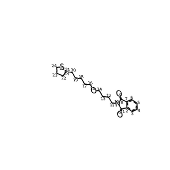 O=C1c2ccccc2C(=O)N1CCCCOCCCCC[C@H]1CCCS1